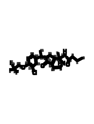 CCCC(=O)NC1(C)NC=CC2=C1CN(C(C)c1cnc(OCC(F)(F)F)c(Cl)c1)C2=O